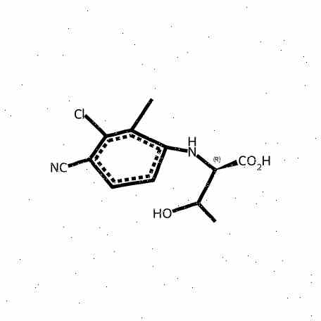 Cc1c(N[C@@H](C(=O)O)C(C)O)ccc(C#N)c1Cl